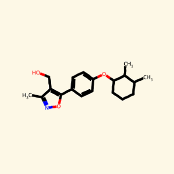 Cc1noc(-c2ccc(OC3CCCC(C)C3C)cc2)c1CO